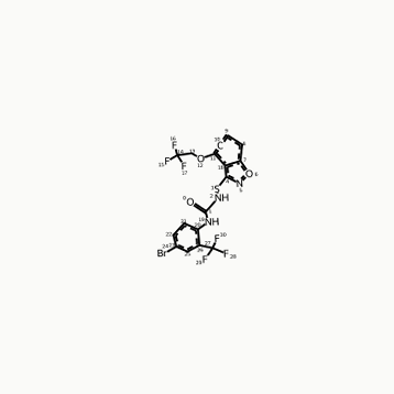 O=C(NSc1noc2cccc(OCC(F)(F)F)c12)Nc1ccc(Br)cc1C(F)(F)F